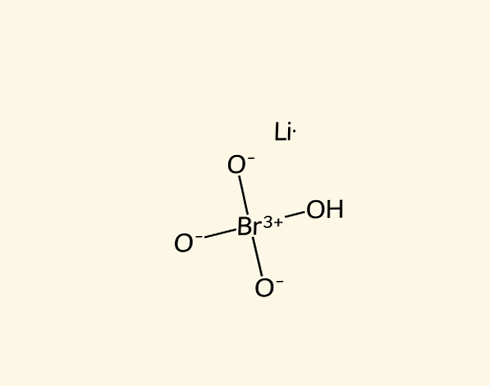 [Li].[O-][Br+3]([O-])([O-])O